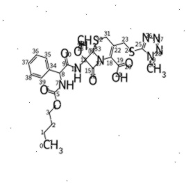 CCCCOC(=O)NC(C(=O)NC1(OC)C(=O)N2C(C(=O)O)=C(CSc3nnnn3C)CS[C@@H]21)c1ccccc1